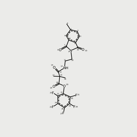 Cc1ccc2c(c1)C(=O)N(CCNC(=O)C(C)(C)C(=O)Oc1c(F)c(F)c(F)c(F)c1F)C2=O